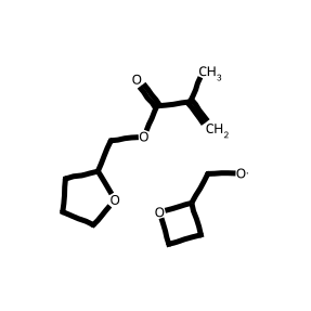 C=C(C)C(=O)OCC1CCCO1.[O]CC1CCO1